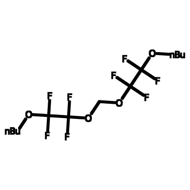 CCCCOC(F)(F)C(F)(F)OCOC(F)(F)C(F)(F)OCCCC